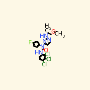 COCC(C)Nc1nccc(N(C(=O)Nc2ccc(Cl)c(Cl)c2Cl)c2ccc(F)cc2)n1